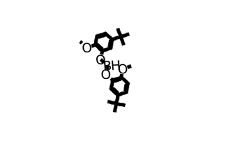 COc1ccc(C(C)(C)C)cc1OBOc1cc(C(C)(C)C)ccc1OC